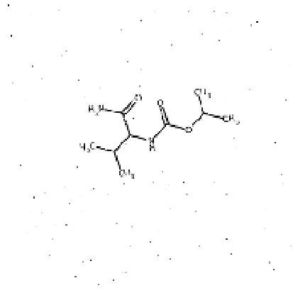 CC(C)OC(=O)NC(C(N)=O)C(C)C